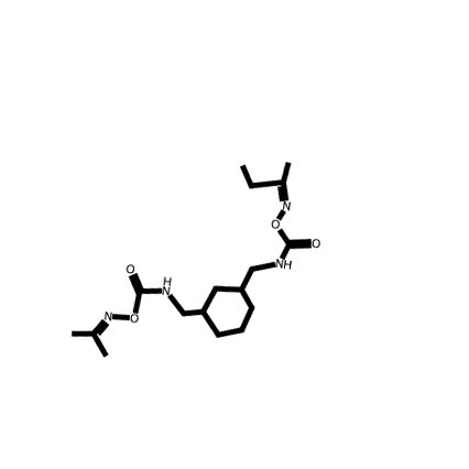 CC/C(C)=N\OC(=O)NCC1CCCC(CNC(=O)ON=C(C)C)C1